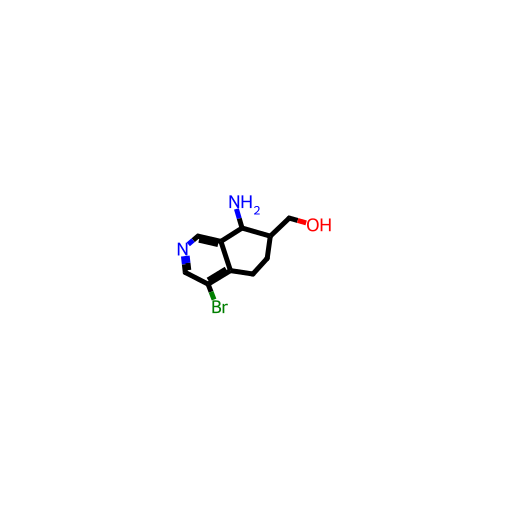 NC1c2cncc(Br)c2CCC1CO